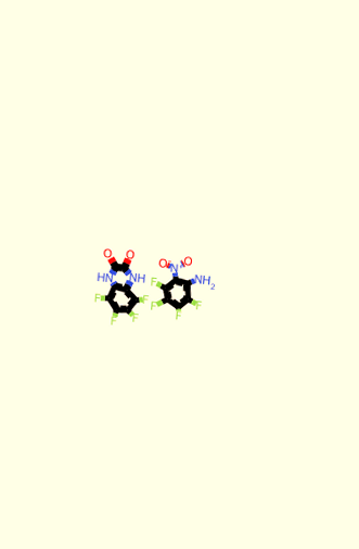 Nc1c(F)c(F)c(F)c(F)c1[N+](=O)[O-].O=c1[nH]c2c(F)c(F)c(F)c(F)c2[nH]c1=O